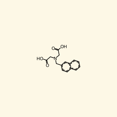 O=C(O)CN(CC(=O)O)Cc1ccc2ccccc2c1